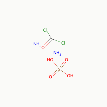 N.N.O=C(Cl)Cl.O=S(=O)(O)O